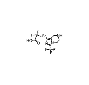 FC(F)(F)c1nc(Br)c2n1CCNC2.O=C(O)C(F)(F)F